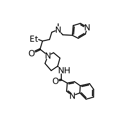 CCC(CCN(C)Cc1ccncc1)C(=O)N1CCC(NC(=O)c2cnc3ccccc3c2)CC1